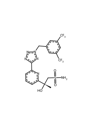 C[C@](O)(CS(N)(=O)=O)c1cccc(-c2nnn(Cc3cc(C(F)(F)F)cc(C(F)(F)F)c3)n2)n1